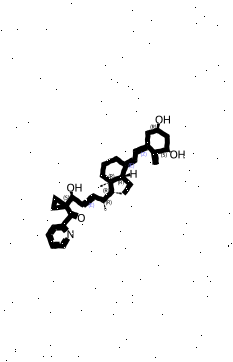 C=C1/C(=C\C=C2/CCC[C@]3(C)[C@@H]([C@H](C)/C=C/[C@H](O)C4(C(=O)c5ccccn5)CC4)CC[C@@H]23)C[C@@H](O)C[C@@H]1O